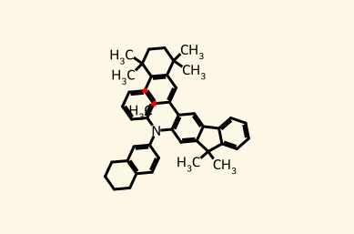 Cc1cc2c(cc1-c1cc3c(cc1N(c1ccccc1)c1ccc4c(c1)CCCC4)C(C)(C)c1ccccc1-3)C(C)(C)CCC2(C)C